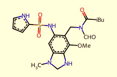 CCC(C)C(=O)N(C=O)Cc1c(NS(=O)(=O)c2ccc[nH]2)cc2c(c1OC)NCN2C